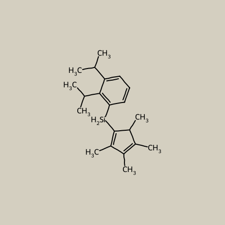 CC1=C(C)C(C)C([SiH2]c2cccc(C(C)C)c2C(C)C)=C1C